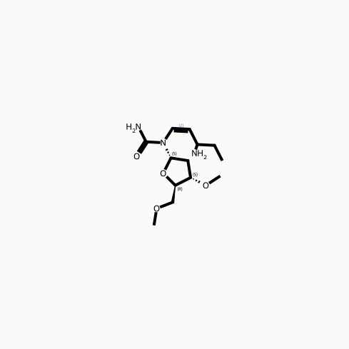 CCC(N)/C=C\N(C(N)=O)[C@@H]1C[C@H](OC)[C@@H](COC)O1